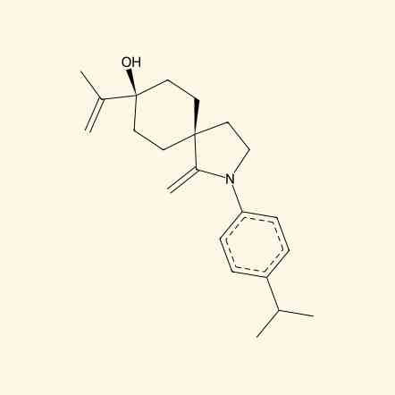 C=C(C)[C@]1(O)CC[C@]2(CCN(c3ccc(C(C)C)cc3)C2=C)CC1